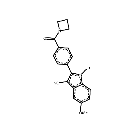 CCn1c(-c2ccc(C(=O)N3CCC3)cc2)c(C#N)c2cc(OC)ccc21